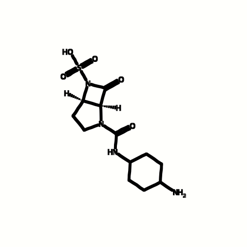 NC1CCC(NC(=O)N2CC[C@@H]3[C@H]2C(=O)N3S(=O)(=O)O)CC1